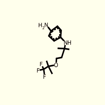 CC(C)(CCOC(C)(C)C(F)(F)F)Nc1ccc(N)cc1